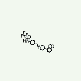 O=C(CC(F)(F)F)N[C@H]1CC[C@H](CCN2CCC(c3cccc4c3CCO4)CC2)CC1